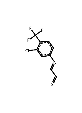 FC(F)(F)c1ccc(N=CC=S)cc1Cl